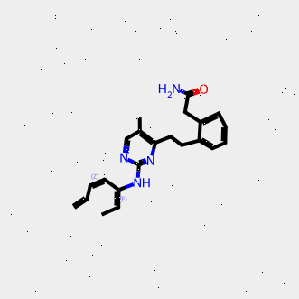 C=C/C=C\C(=C/C)Nc1ncc(C)c(CCc2ccccc2CC(N)=O)n1